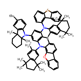 Cc1cc2c(cc1N1c3cc(N4c5ccc(C(C)(C)C)cc5C5(C)CCCCC45C)cc4c3B(c3cc5c(cc3N4c3cccc4sc6ccccc6c34)C(C)(C)CCC5(C)C)c3ccc4c(oc5ccccc54)c31)C(C)(C)CCC2(C)C